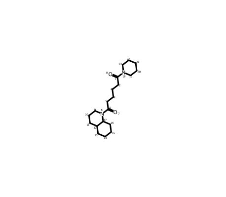 O=C(CCCCC(=O)N1CCCC2CCCCC21)N1CCCCC1